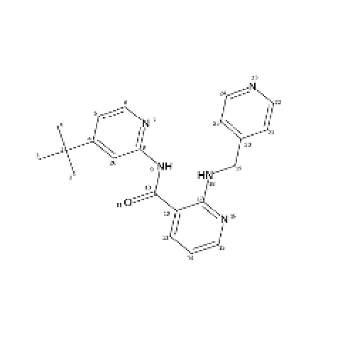 CC(C)(C)c1ccnc(NC(=O)c2cccnc2NCc2ccncc2)c1